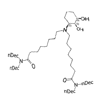 CCCCCCCCCCN(CCCCCCCCCC)C(=O)CCCCCCCN(CCCCCCCC(=O)N(CCCCCCCCCC)CCCCCCCCCC)[C@H]1CCC[C@@H](O)[C@H]1O